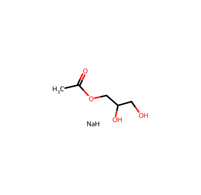 CC(=O)OCC(O)CO.[NaH]